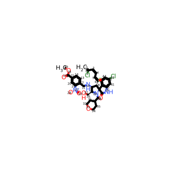 C=C(Cl)/C=C\C=C(/F)[C@H]1[C@H](NCc2ccc(C(=O)OC)cc2[N+](=O)[O-])[C@H](CO)N(CC2CCOCC2)[C@@]12C(=O)Nc1cc(Cl)ccc12